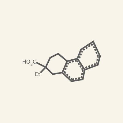 CCC1(C(=O)O)CCc2c(ccc3ccccc23)C1